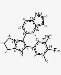 Cc1cc(-c2nc3n(c2-c2ccc4nccn4c2)CCC3)cc(Cl)c1F